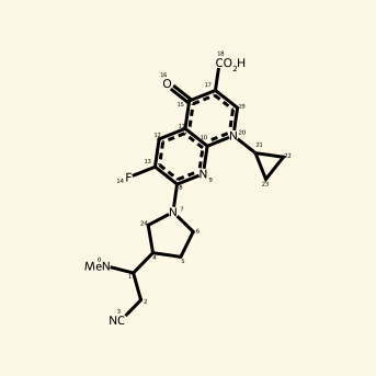 CNC(CC#N)C1CCN(c2nc3c(cc2F)c(=O)c(C(=O)O)cn3C2CC2)C1